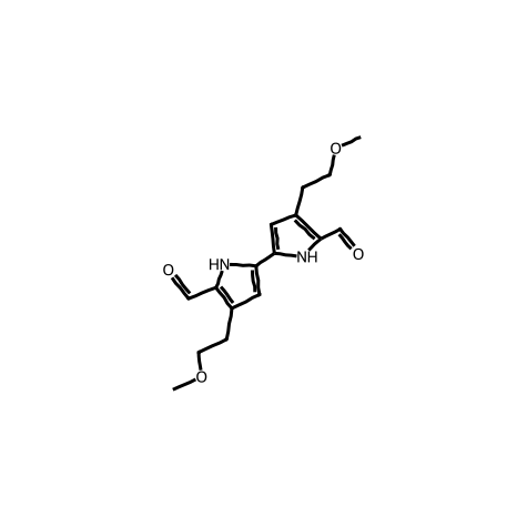 COCCc1cc(-c2cc(CCOC)c(C=O)[nH]2)[nH]c1C=O